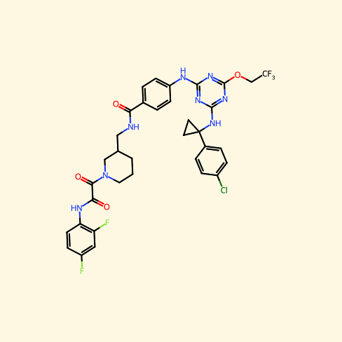 O=C(Nc1ccc(F)cc1F)C(=O)N1CCCC(CNC(=O)c2ccc(Nc3nc(NC4(c5ccc(Cl)cc5)CC4)nc(OCC(F)(F)F)n3)cc2)C1